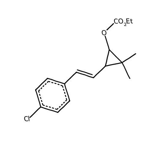 CCOC(=O)OC1C(C=Cc2ccc(Cl)cc2)C1(C)C